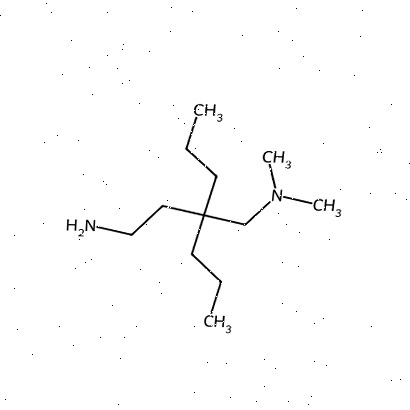 CCCC(CCC)(CCN)CN(C)C